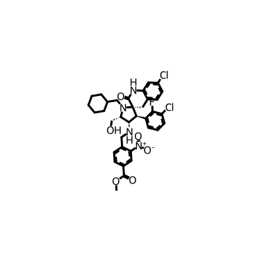 COC(=O)c1ccc(CN[C@@H]2[C@H](CO)N(CC3CCCCC3)[C@]3(Cc4ccc(Cl)cc4NC3=O)[C@H]2c2cccc(Cl)c2F)c([N+](=O)[O-])c1